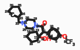 O=C(C(c1ccc(OC(F)(F)F)cc1)C1(O)CCCCC1)N1CCN(CC2CCCCC2)CC1